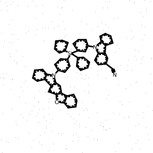 N#Cc1ccc2c(c1)c1ccccc1n2-c1cccc([Si](c2ccccc2)(c2ccccc2)c2ccc(-n3c4ccccc4c4cc5oc6ccccc6c5cc43)cc2)c1